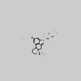 CCN(CC)C(=O)Nn1cc2c3c(cc(C(C)C)cc31)[C@H]1CCCN(C)[C@@H]1C2